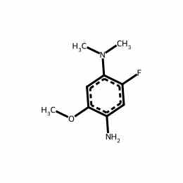 COc1cc(N(C)C)c(F)cc1N